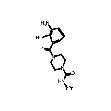 CCCNC(=O)N1CCN(C(=O)c2cccc(N)c2O)CC1